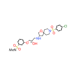 CNS(=O)(=O)c1cccc(OC[C@@H](O)CNC2COC3(CCN(S(=O)(=O)c4ccc(Cl)cc4)CC3)C2)c1